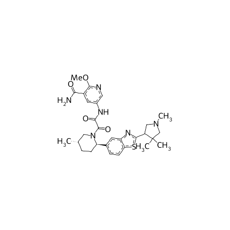 COc1ncc(NC(=O)C(=O)N2C[C@@H](C)CC[C@@H]2c2ccc3sc(C4CN(C)CC4(C)C)nc3c2)cc1C(N)=O